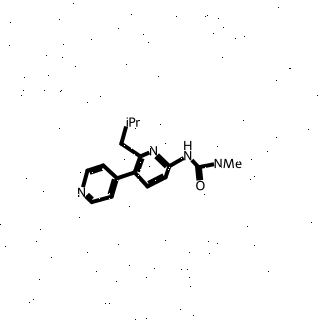 CNC(=O)Nc1ccc(-c2ccncc2)c(CC(C)C)n1